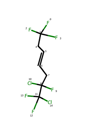 FC(F)(F)C/C=C/CC(F)(Cl)C(F)(F)Cl